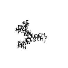 CC(C)OC(=O)/C(=C/n1cnc(-c2cc(C(F)(F)F)nc(C(F)(F)F)c2)n1)c1ccc(NCC(F)(F)F)nc1